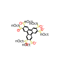 CCCCCCCC[S+]([O-])c1cc2c3cc([S+]([O-])CCCCCCCC)c([S+]([O-])CCCCCCCC)cc3c3cc([S+]([O-])CCCCCCCC)c([S+]([O-])CCCCCCCC)cc3c2cc1[S+]([O-])CCCCCCCC